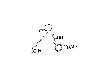 COCc1cccc(C[C@H](O)/C=C/[C@H]2CCCC(=O)N2CCSCCCC(=O)O)c1